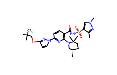 Cc1nn(C)cc1S(=O)(=O)NC(=O)c1ccc(-n2ccc(OCC(C)(C)C(F)(F)F)n2)nc1N1C[C@H](C)CCC1(C)C